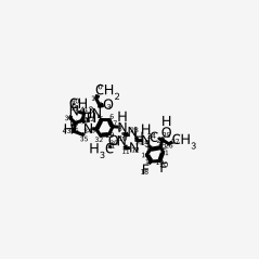 C=CC(=O)Nc1cc(Nc2ncnc(Nc3cc(F)c(F)cc3C(C)(O)CC)n2)c(OC)cc1N1CC[C@H]2CN(C)C[C@H]21